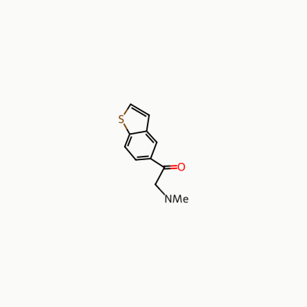 CNCC(=O)c1ccc2sccc2c1